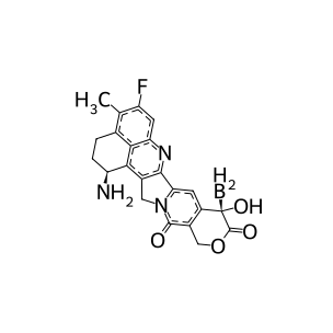 B[C@@]1(O)C(=O)OCc2c1cc1n(c2=O)Cc2c-1nc1cc(F)c(C)c3c1c2[C@@H](N)CC3